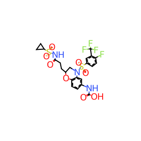 O=C(O)Nc1ccc2c(c1)N(S(=O)(=O)c1ccc(F)c(C(F)(F)F)c1)CC(CCC(=O)NS(=O)(=O)C1CC1)O2